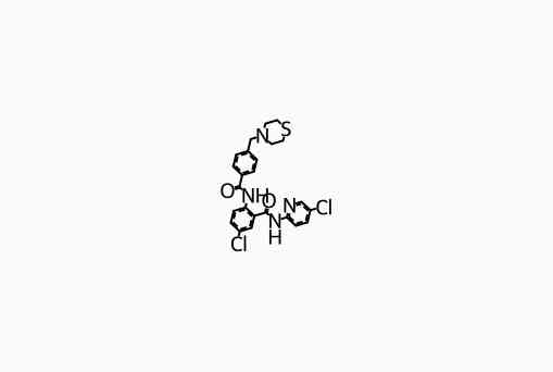 O=C(Nc1ccc(Cl)cc1C(=O)Nc1ccc(Cl)cn1)c1ccc(CN2CCSCC2)cc1